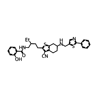 CCC(CCc1sc2c(c1C#N)CCC(NCc1cnc(-c3ccccc3)s1)C2)CNC(=O)c1ccccc1O